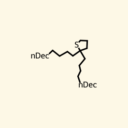 CCCCCCCCCCCCCCC1(CCCCCCCCCCCCCC)CCCS1